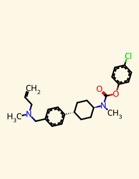 C=CCN(C)Cc1ccc([C@H]2CC[C@H](N(C)C(=O)Oc3ccc(Cl)cc3)CC2)cc1